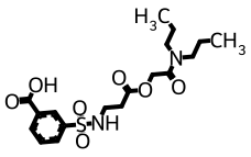 CCCN(CCC)C(=O)COC(=O)CCNS(=O)(=O)c1cccc(C(=O)O)c1